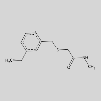 C=Cc1ccnc(CSCC(=O)NC)c1